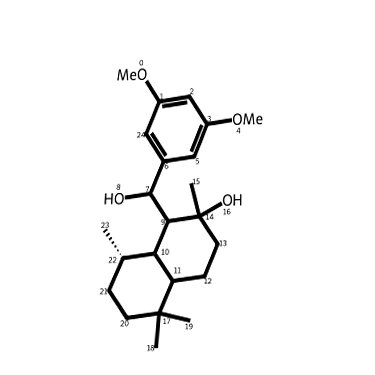 COc1cc(OC)cc(C(O)C2C3C(CCC2(C)O)C(C)(C)CC[C@@H]3C)c1